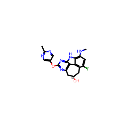 CNc1cc(F)c2c3c1[nH]c1nc(Oc4cnc(C)nc4)nc(c13)C[C@@H](O)C2